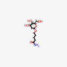 NC(=O)CCCCO[C@H]1C[C@@H](O)[C@@H](O)[C@@H](CO)O1